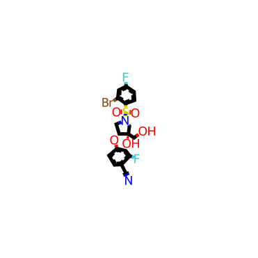 N#Cc1ccc(O[C@H]2CN(S(=O)(=O)c3ccc(F)cc3Br)C[C@]2(O)CO)cc1F